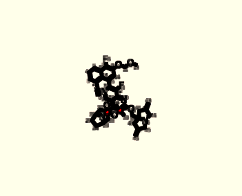 C#Cc1cccc2c(F)c(OCOC)cc(-c3ncc4c(N5CC6CCC(C5)N6C(=O)OC(C)(C)C)nc(OCC56CC(=C)CN5CC(=C)C6)nc4c3F)c12